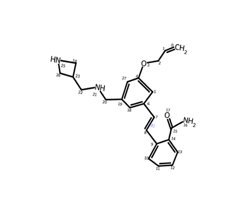 C=CCOc1cc(/C=C/c2ccccc2C(N)=O)cc(CNCC2CNC2)c1